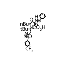 CCCC[C@@H](C(=O)C(=O)N[C@H](C)c1ccccc1)N(C(=O)O)C(Cc1nnc(-c2ccc(C(F)(F)F)cc2)o1)C(C)(C)C